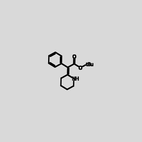 CC(C)(C)OC(=O)C(=C1CCCCN1)c1ccccc1